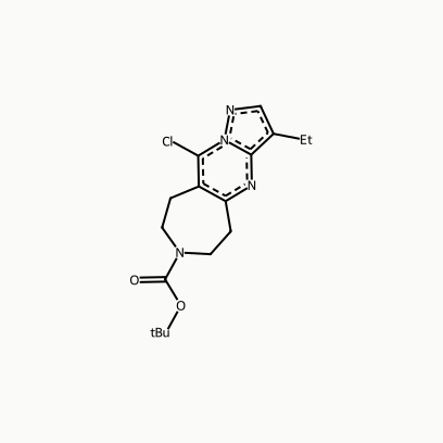 CCc1cnn2c(Cl)c3c(nc12)CCN(C(=O)OC(C)(C)C)CC3